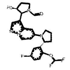 O=CN1CC[C@H](O)C1c1cnn2ccc(N3CCC[C@@H]3c3cc(F)ccc3OC(F)F)cc12